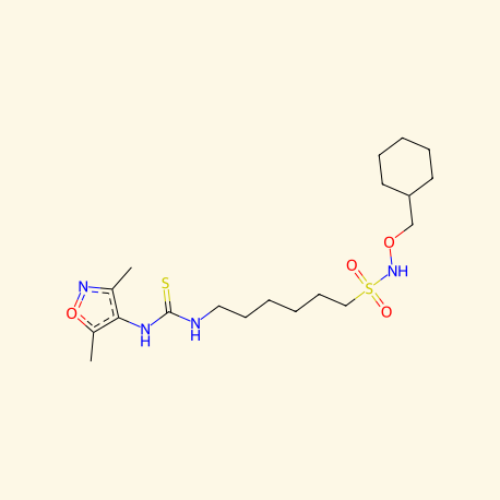 Cc1noc(C)c1NC(=S)NCCCCCCS(=O)(=O)NOCC1CCCCC1